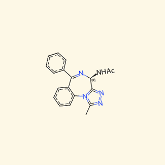 CC(=O)N[C@@H]1N=C(c2ccccc2)c2ccccc2-n2c(C)nnc21